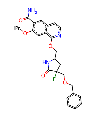 CC(C)Oc1cc2c(OCC3CC(F)(COCc4ccccc4)C(=O)N3)nccc2cc1C(N)=O